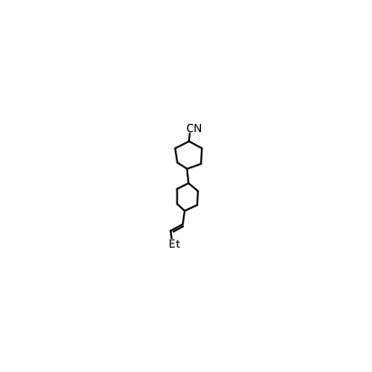 CCC=CC1CCC(C2CCC(C#N)CC2)CC1